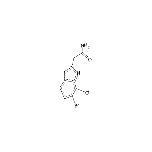 NC(=O)Cn1cc2ccc(Br)c(Cl)c2n1